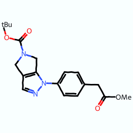 COC(=O)Cc1ccc(-n2ncc3c2CN(C(=O)OC(C)(C)C)C3)cc1